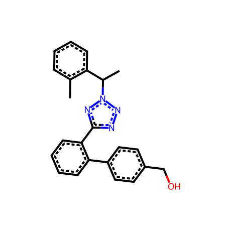 Cc1ccccc1C(C)n1nnc(-c2ccccc2-c2ccc(CO)cc2)n1